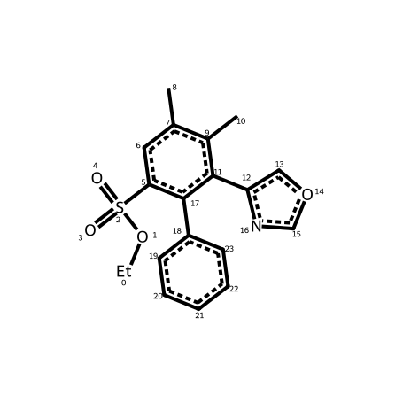 CCOS(=O)(=O)c1cc(C)c(C)c(-c2cocn2)c1-c1ccccc1